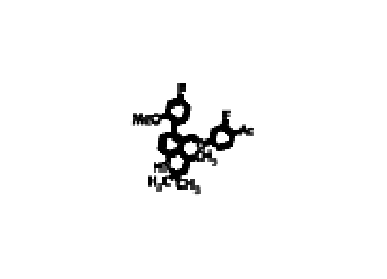 COc1cc(F)ccc1-c1ccc2c(c1COc1ccc(C(C)=O)c(F)c1)C(C)=CC(C)(C)N2